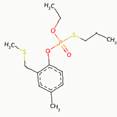 CCCSP(=O)(OCC)Oc1ccc(C)cc1CSC